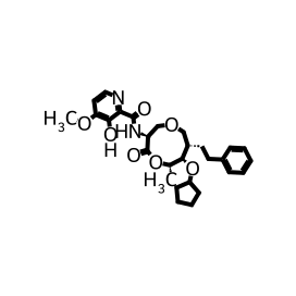 COc1ccnc(C(=O)N[C@H]2COC[C@H](CCc3ccccc3)[C@@H](OC3CCCC3)[C@H](C)OC2=O)c1O